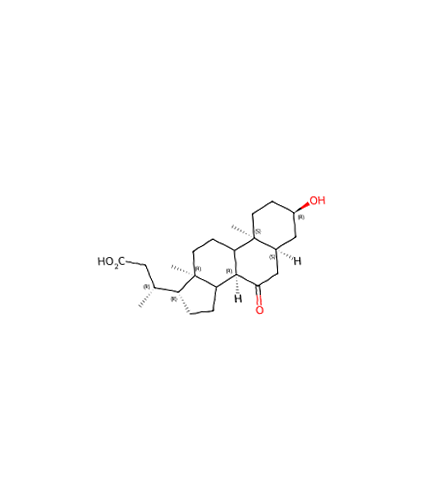 C[C@H](CC(=O)O)[C@H]1CCC2[C@@H]3C(=O)C[C@@H]4C[C@H](O)CC[C@]4(C)C3CC[C@@]21C